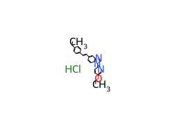 CCOc1ccc(-n2cnc3cc(/C=C/c4ccc(CC)cc4)ccc32)nc1.Cl